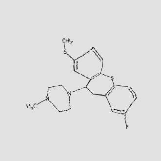 CSc1ccc2c(c1)C(N1CCN(C)CC1)Cc1cc(F)ccc1S2